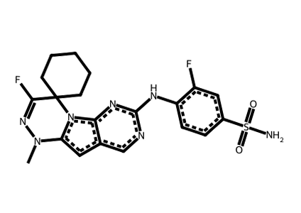 CN1N=C(F)C2(CCCCC2)n2c1cc1cnc(Nc3ccc(S(N)(=O)=O)cc3F)nc12